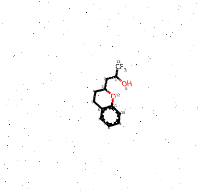 OC(CC1CCc2ccccc2O1)C(F)(F)F